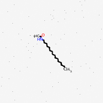 [CH]C(=O)NCCCCCCCCCCCCCCCC